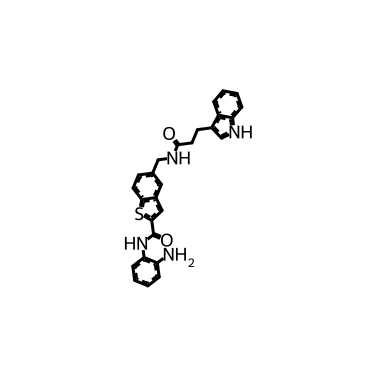 Nc1ccccc1NC(=O)c1cc2cc(CNC(=O)CCc3c[nH]c4ccccc34)ccc2s1